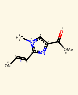 COC(=O)c1cn(C)c(/C=C/N=O)n1